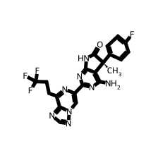 C[C@@]1(c2ccc(F)cc2)C(=O)Nc2nc(-c3cn4ncnc4c(CCC(F)(F)F)n3)nc(N)c21